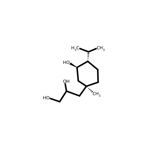 CC(C)[C@@H]1CC[C@@](C)(CC(O)CO)C[C@H]1O